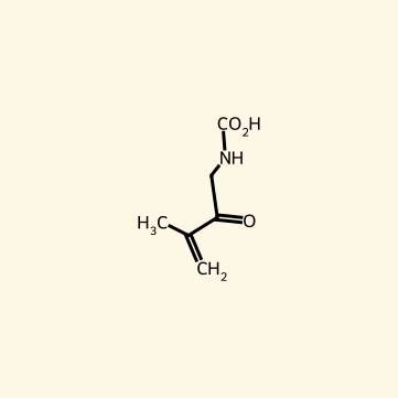 C=C(C)C(=O)CNC(=O)O